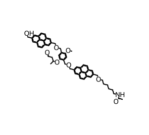 COc1cc(COCc2cc3ccc4cc(COCCCCCCNC(C)=O)cc5ccc(c2)c3c45)c(OC(C)CC=O)cc1COCc1cc2ccc3cc(CO)cc4ccc(c1)c2c34